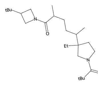 CCC1(C(C)CCC(C)C(=O)N2CC(C(C)(C)C)C2)CCN(C(=O)C(C)(C)C)C1